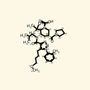 COCCCCc1c(C(=O)N(CC(C)C)[C@H]2C[C@@H](C(=O)N3CCCC3)CN(C(=O)O)C2C(C)(C)C)nnn1-c1ccccc1C